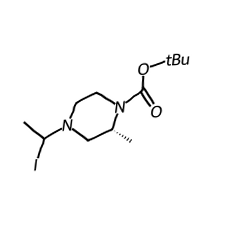 CC(I)N1CCN(C(=O)OC(C)(C)C)[C@H](C)C1